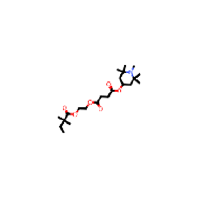 CCC(C)(C)C(=O)OCCOC(=O)CCC(=O)OC1CC(C)(C)N(C)C(C)(C)C1